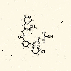 CN[C@@H](CNC(=O)c1cccc(C(OCCNC(=O)O)c2cccc(Cl)c2)c1)CC1CCOCC1